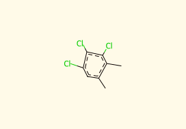 Cc1cc(Cl)c(Cl)c(Cl)c1C